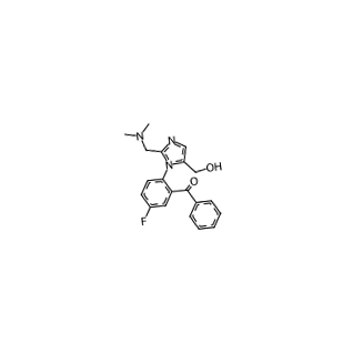 CN(C)Cc1ncc(CO)n1-c1ccc(F)cc1C(=O)c1ccccc1